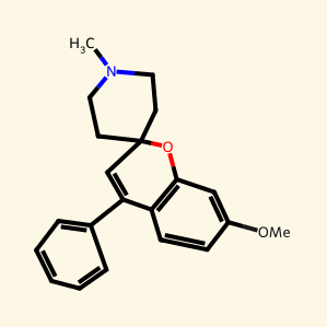 COc1ccc2c(c1)OC1(C=C2c2ccccc2)CCN(C)CC1